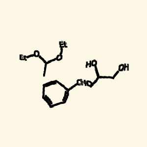 CC(O)CO.CCOC(C)OCC.O=Cc1ccccc1